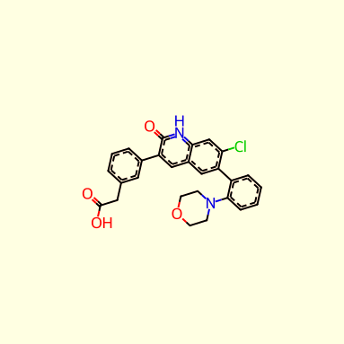 O=C(O)Cc1cccc(-c2cc3cc(-c4ccccc4N4CCOCC4)c(Cl)cc3[nH]c2=O)c1